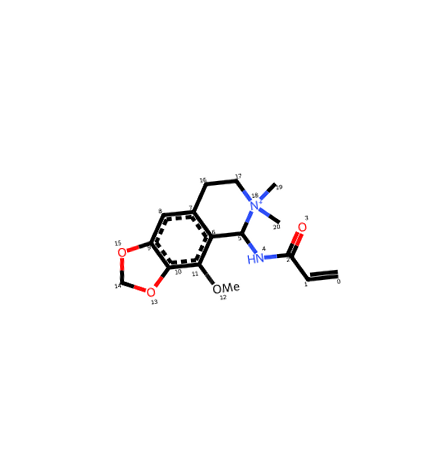 C=CC(=O)NC1c2c(cc3c(c2OC)OCO3)CC[N+]1(C)C